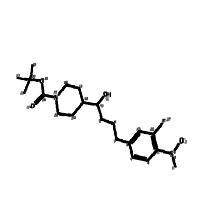 C[S+]([O-])c1ccc(CCCC(O)C2CCN(C(=O)OC(C)(C)C)CC2)cc1F